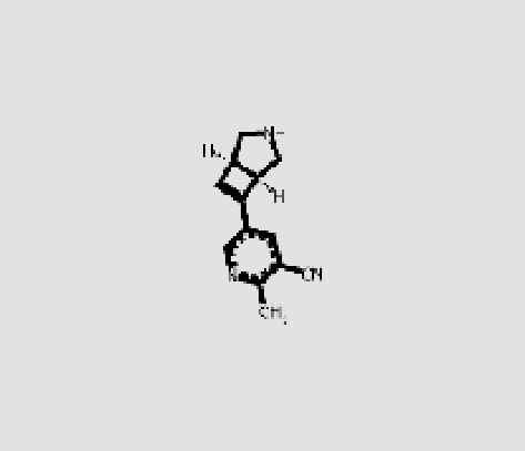 Cc1ncc(C2=C[C@H]3CNC[C@@H]23)cc1C#N